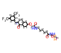 O=C(COc1ccc2c(c1)CC/C(=C\c1cc(C(F)(F)F)cc(C(F)(F)F)c1)C2=O)NCCCCCC(=O)NOPI